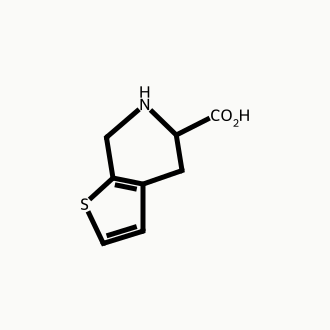 O=C(O)C1Cc2ccsc2CN1